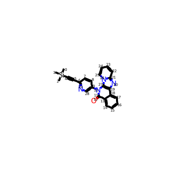 C[Si](C)(C)C#Cc1ccc(-n2c(=O)c3ccccc3c3nc4ccccn4c32)cn1